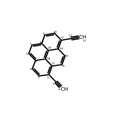 C#Cc1ccc2ccc3ccc(C#C)c4ccc1c2c34